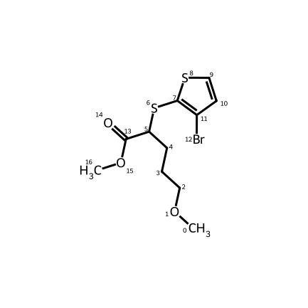 COCCCC(Sc1sccc1Br)C(=O)OC